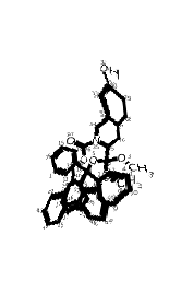 COC(OC)(OC(c1ccccc1)(c1ccccc1)c1ccccc1)C1CC2CC[C@H](O)C=C2CN1C(=O)OCC1c2ccccc2-c2ccccc21